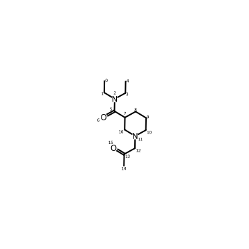 CCN(CC)C(=O)C1CCCN(CC(C)=O)C1